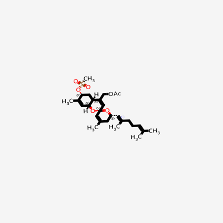 CC(=O)OCC1=C[C@]2(C=C(C)C[C@@H](/C=C(\C)CCC=C(C)C)O2)O[C@@H]2C=C(C)[C@H](OS(C)(=O)=O)C[C@H]12